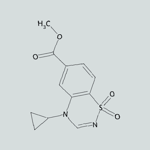 COC(=O)c1ccc2c(c1)N(C1CC1)C=NS2(=O)=O